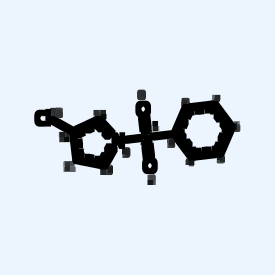 O=S(=O)(c1ccccc1)n1ccc(Cl)c1